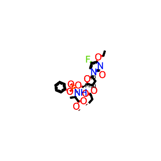 CCOc1nc(=O)n([C@H]2C[C@H](OC(=O)CC)[C@@H](COP(=O)(NC(C)C(OC)OC)Oc3ccccc3)O2)cc1F